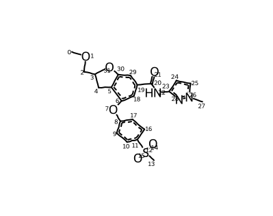 COCC1Cc2c(Oc3ccc(S(C)(=O)=O)cc3)cc(C(=O)Nc3ccn(C)n3)cc2O1